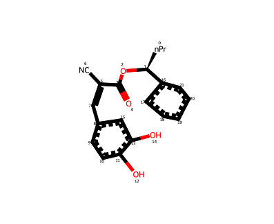 CCC[C@H](OC(=O)C(C#N)=Cc1ccc(O)c(O)c1)c1ccccc1